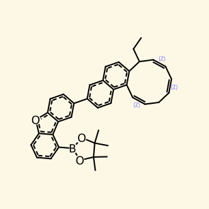 CCC1/C=C\C=C/C/C=C\c2c1ccc1cc(-c3ccc4oc5cccc(B6OC(C)(C)C(C)(C)O6)c5c4c3)ccc21